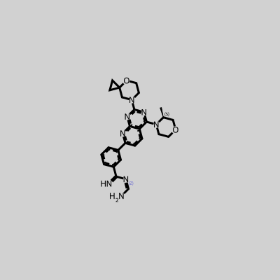 C[C@H]1COCCN1c1nc(N2CCOC3(CC3)C2)nc2nc(-c3cccc(C(=N)/N=C\N)c3)ccc12